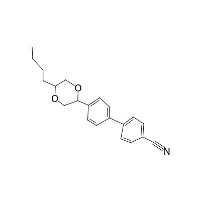 CCCCC1COC(c2ccc(-c3ccc(C#N)cc3)cc2)CO1